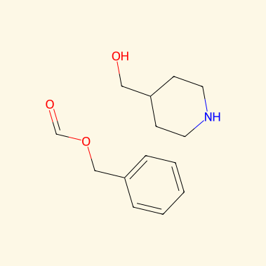 O=COCc1ccccc1.OCC1CCNCC1